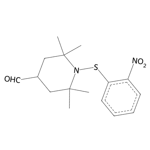 CC1(C)CC(C=O)CC(C)(C)N1Sc1ccccc1[N+](=O)[O-]